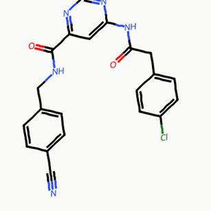 N#Cc1ccc(CNC(=O)c2cc(NC(=O)Cc3ccc(Cl)cc3)ncn2)cc1